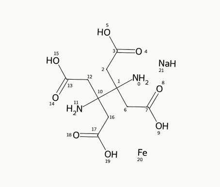 NC(CC(=O)O)(CC(=O)O)C(N)(CC(=O)O)CC(=O)O.[Fe].[NaH]